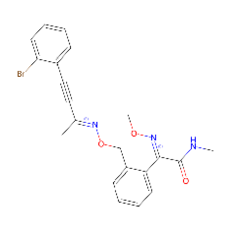 CNC(=O)/C(=N/OC)c1ccccc1CO/N=C(\C)C#Cc1ccccc1Br